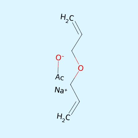 C=CCOCC=C.CC(=O)[O-].[Na+]